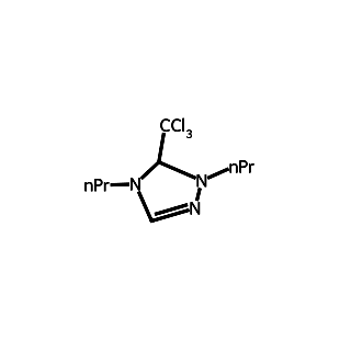 CCCN1C=NN(CCC)C1C(Cl)(Cl)Cl